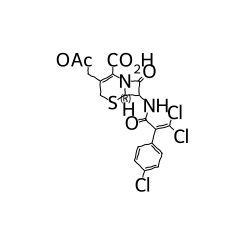 CC(=O)OCC1=C(C(=O)O)N2C(=O)C(NC(=O)C(=C(Cl)Cl)c3ccc(Cl)cc3)[C@H]2SC1